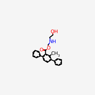 Cc1c(-c2ccccc2)ccc(-c2ccccc2)c1C(=O)OCNCCO